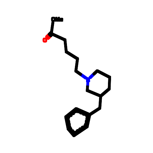 COC(=O)CCCCN1CCCC(Cc2ccccc2)C1